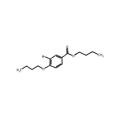 CCCCOC(=O)c1ccc(OCCCC)c(Br)c1